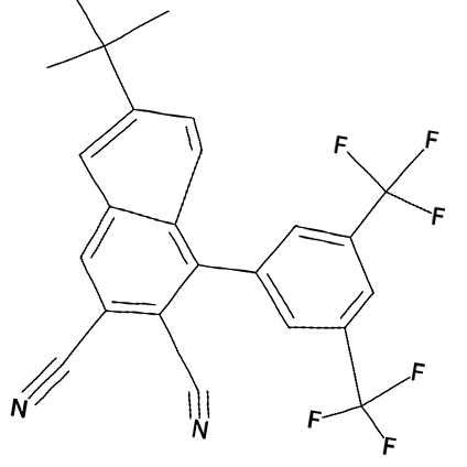 CC(C)(C)c1ccc2c(-c3cc(C(F)(F)F)cc(C(F)(F)F)c3)c(C#N)c(C#N)cc2c1